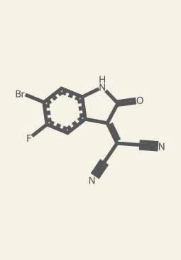 N#CC(C#N)=C1C(=O)Nc2cc(Br)c(F)cc21